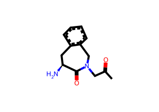 CC(=O)CN1Cc2ccccc2C[C@H](N)C1=O